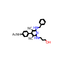 CC(=O)Nc1ccc(-c2c(C#N)c(NCCCO)nc(NCc3ccccc3)c2C#N)cc1